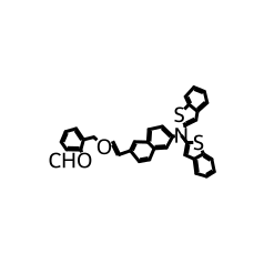 O=Cc1ccccc1COC=Cc1ccc2cc(N(c3cc4ccccc4s3)c3cc4ccccc4s3)ccc2c1